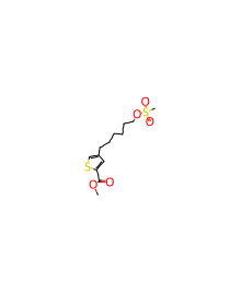 COC(=O)c1cc(CCCCCCOS(C)(=O)=O)cs1